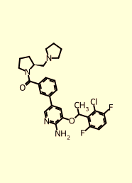 CC(Oc1cc(-c2cccc(C(=O)N3CCC[C@H]3CN3CCCC3)c2)cnc1N)c1c(F)ccc(F)c1Cl